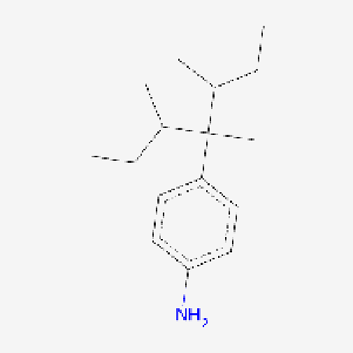 CCC(C)C(C)(c1ccc(N)cc1)C(C)CC